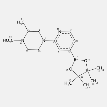 CC1CN(c2cc(B3OC(C)(C)C(C)(C)O3)ccn2)CCN1C(=O)O